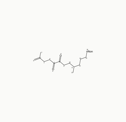 C=C(C)CCC(=O)C(=O)CCC(C)CCCCCCCCCCCC